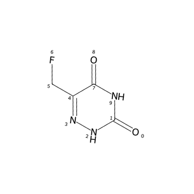 O=c1[nH]nc(CF)c(=O)[nH]1